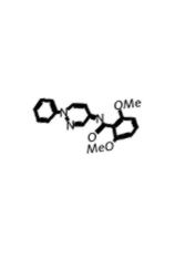 COc1cccc(OC)c1C(=O)N=c1ccn(-c2ccccc2)nc1